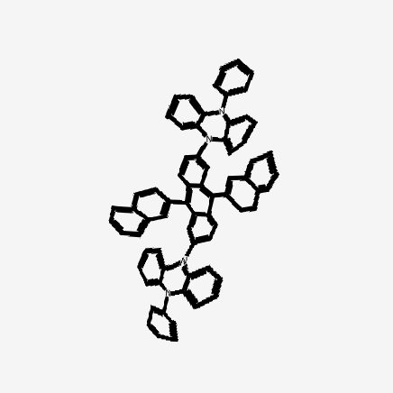 C1=C(c2c3cc(N4c5ccccc5N(c5ccccc5)c5ccccc54)ccc3c(-c3ccc4ccccc4c3)c3cc(N4c5ccccc5N(c5ccccc5)c5ccccc54)ccc23)CCc2ccccc21